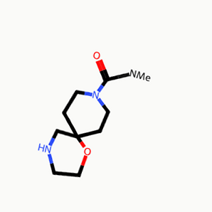 CNC(=O)N1CCC2(CC1)CNCCO2